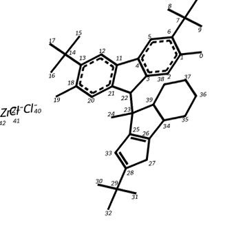 Cc1cc2c(cc1C(C)(C)C)-c1cc(C(C)(C)C)c(C)cc1C2C1(C)C2=C(CC(C(C)(C)C)=C2)C2CCCCC21.[Cl-].[Cl-].[Zr+2]